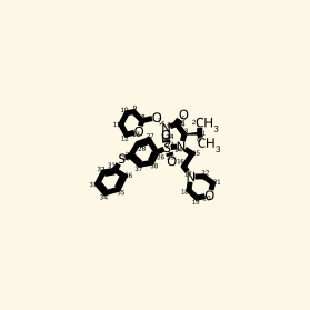 CC(C)[C@H](C(=O)NOC1CCCCO1)N(CCN1CCOCC1)S(=O)(=O)c1ccc(Sc2ccccc2)cc1